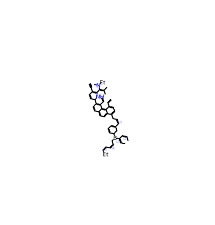 C#CC1=C(C(=C(C)C)N(C)CC)NC(c2ccc3ccc4c(C/C=C\C5=CC=CC(B(C/C=C\C=C/CC)C(/C=C\C)=C/C)C5)ccc(C=C)c4c3c2C=C)C=C1